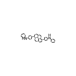 C1=Cc2c(-c3ccc(Nc4ccccc4)cc3)ccc3c2C2C1=CC=C(c1ccc(Nc4ccccc4)cc1)C2C=C3